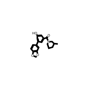 CC1CCCN(C(=O)c2cc(O)cc(-c3ccc4c(c3)OCO4)c2)C1